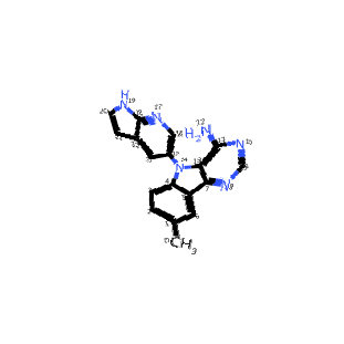 Cc1ccc2c(c1)c1ncnc(N)c1n2-c1cnc2[nH]ccc2c1